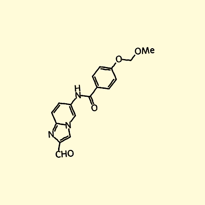 COCOc1ccc(C(=O)Nc2ccc3nc(C=O)cn3c2)cc1